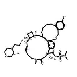 C[C@@H]1COCCN1CCO[C@H]1/C=C/CCN(C)C(=O)C[C@](O)(C(=O)NS(=O)(=O)N(C)C)c2ccc3c(c2)N(CCCCc2cc(Cl)ccc2CO3)C[C@@H]2CC[C@H]21